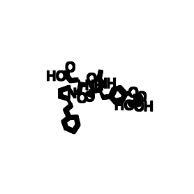 CC(=O)N[C@@H](Cc1ccc(OP(=O)(O)O)cc1)C(=O)N[C@@H](CCC(=O)O)C(=O)N1CCC[C@@H]1CCC1CCCCC1